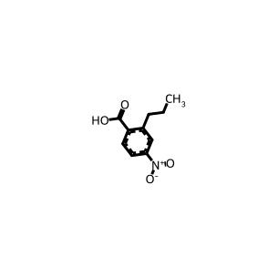 CCCc1cc([N+](=O)[O-])ccc1C(=O)O